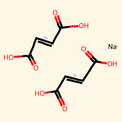 O=C(O)/C=C/C(=O)O.O=C(O)/C=C/C(=O)O.[Na]